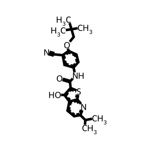 CC(C)c1ccc2c(O)c(C(=O)Nc3ccc(OCC(C)(C)C)c(C#N)c3)sc2n1